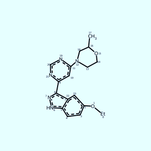 CCOc1ccc2[nH]nc(-c3cc(N4CCOC(C)C4)ncn3)c2c1